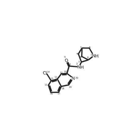 O=C(NC1CC2CNC1C2)c1cc2c(Cl)cccc2cn1